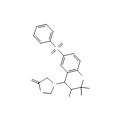 CC1(C)Oc2ccc(S(=O)(=O)c3ccccc3)cc2C(N2COC(=O)C2)C1O